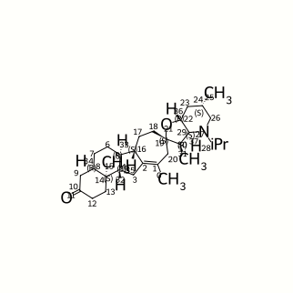 CC1=C2C[C@H]3[C@@H](CC[C@@H]4CC(=O)CC[C@@]43C)[C@@H]2CC[C@@]2(C1)O[C@@H]1C[C@H](C)CN(C(C)C)[C@H]1[C@H]2C